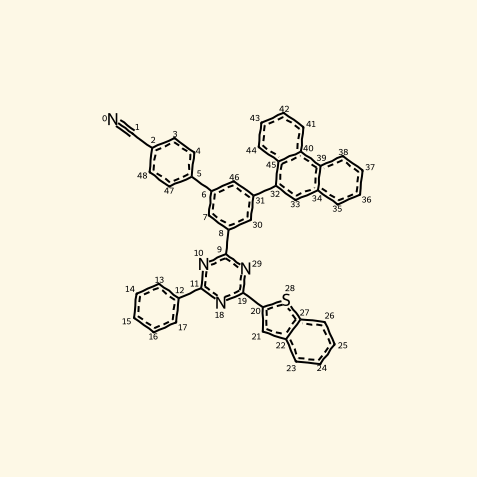 N#Cc1ccc(-c2cc(-c3nc(-c4ccccc4)nc(-c4cc5ccccc5s4)n3)cc(-c3cc4ccccc4c4ccccc34)c2)cc1